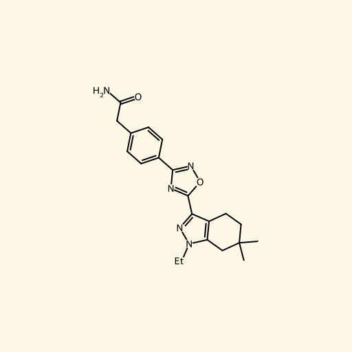 CCn1nc(-c2nc(-c3ccc(CC(N)=O)cc3)no2)c2c1CC(C)(C)CC2